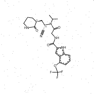 CC(C)N(C(=O)CNC(=O)c1cc2c(OC(F)(F)F)cccc2[nH]1)[C@H](C#N)C[C@@H]1CCCNC1=O